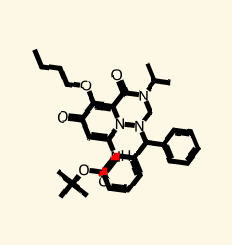 CCCCOc1c2n(c(NC(=O)OC(C)(C)C)cc1=O)N(C(c1ccccc1)c1ccccc1)CN(C(C)C)C2=O